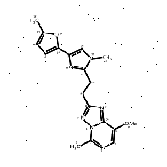 COc1ccc(C)n2nc(CCc3nc(-c4ccc(C)o4)cn3C)nc12